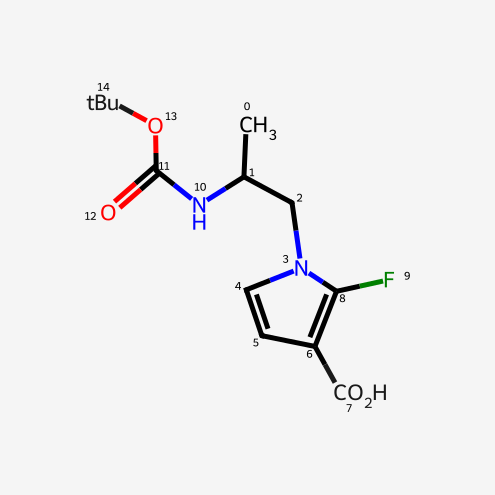 CC(Cn1ccc(C(=O)O)c1F)NC(=O)OC(C)(C)C